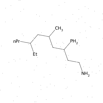 CCCC(CC)CC(C)CC(P)CCN